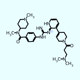 CN(C)CCC(=O)N1CC=C(c2ccc[nH]/c2=N\C(=N)Nc2ccc(C(=O)N(C)C3CCN(C)CC3)cc2)CC1